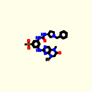 CC(C)N1CC(=O)N(C)c2cnc(Nc3cc(NC(=O)N[C@H]4CCN(Cc5ccccc5)C4)cc(S(C)(=O)=O)c3)nc21